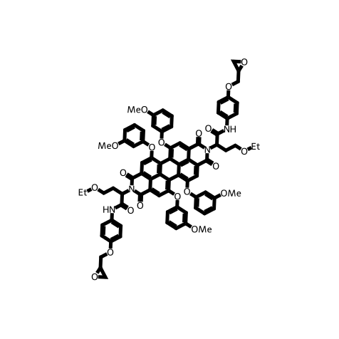 CCOCCC(C(=O)Nc1ccc(OCC2CO2)cc1)N1C(=O)c2cc(Oc3cccc(OC)c3)c3c4c(Oc5cccc(OC)c5)cc5c6c(cc(Oc7cccc(OC)c7)c(c7c(Oc8cccc(OC)c8)cc(c2c37)C1=O)c64)C(=O)N(C(CCOCC)C(=O)Nc1ccc(OCC2CO2)cc1)C5=O